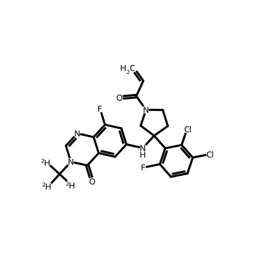 [2H]C([2H])([2H])n1cnc2c(F)cc(NC3(c4c(F)ccc(Cl)c4Cl)CCN(C(=O)C=C)C3)cc2c1=O